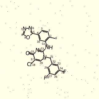 Cc1ccc(-c2nnco2)cc1Nc1nc(=O)c(Cl)cn1Cc1cc(F)cc(F)c1